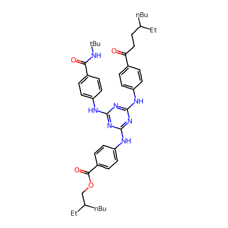 CCCCC(CC)CCC(=O)c1ccc(Nc2nc(Nc3ccc(C(=O)NC(C)(C)C)cc3)nc(Nc3ccc(C(=O)OCC(CC)CCCC)cc3)n2)cc1